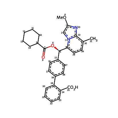 COc1cn2c([C@H](OC(=O)C3CCCCC3)c3ccc(-c4ccccc4C(=O)O)cc3)ccc(C)c2n1